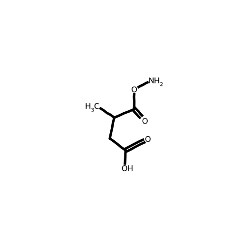 CC(CC(=O)O)C(=O)ON